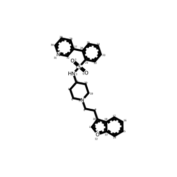 O=S(=O)(NC1CCN(CCc2coc3ccccc23)CC1)c1ccccc1-c1cccnc1